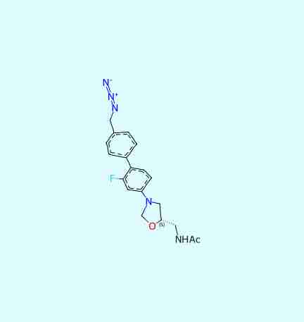 CC(=O)NC[C@H]1CN(c2ccc(-c3ccc(CN=[N+]=[N-])cc3)c(F)c2)CO1